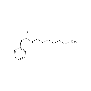 CCCCCCCCCCCCCCCCOC(=O)Oc1ccccc1